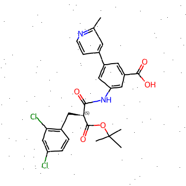 Cc1cc(-c2cc(NC(=O)[C@H](Cc3ccc(Cl)cc3Cl)C(=O)OC(C)(C)C)cc(C(=O)O)c2)ccn1